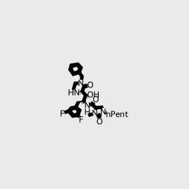 CCCCCN1CC(C(=O)N[C@@H](Cc2cc(F)cc(F)c2)[C@H](O)[C@@H]2NCCN(Cc3ccccc3)C2=O)N(C)C1=O